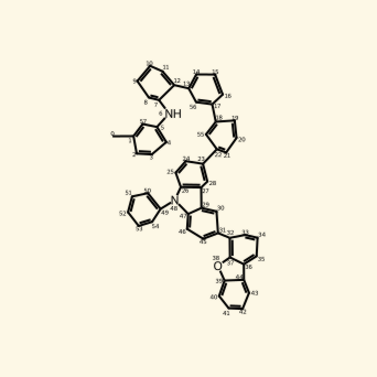 Cc1cccc(Nc2ccccc2-c2cccc(-c3cccc(-c4ccc5c(c4)c4cc(-c6cccc7c6oc6ccccc67)ccc4n5-c4ccccc4)c3)c2)c1